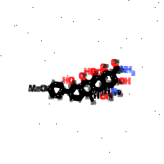 COc1ccc(-c2ccc3c(c2O)C(=O)C2=C(O)[C@]4(O)C(=O)C(C(N)=O)=C(O)[C@@H](N(C)C)[C@@H]4[C@@H](O)[C@@H]2[C@H]3C)cc1